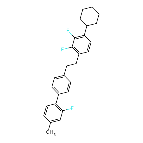 Cc1ccc(-c2ccc(CCc3ccc(C4CCCCC4)c(F)c3F)cc2)c(F)c1